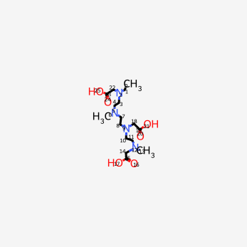 CCN(CCN(C)CCN(CCN(C)CC(=O)O)CC(=O)O)CC(=O)O